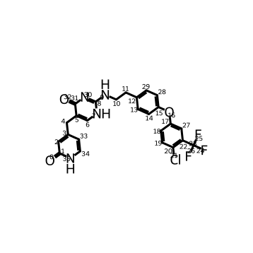 O=c1cc(Cc2c[nH]c(NCCc3ccc(Oc4ccc(Cl)c(C(F)(F)F)c4)cc3)nc2=O)cc[nH]1